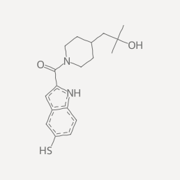 CC(C)(O)CC1CCN(C(=O)c2cc3cc(S)ccc3[nH]2)CC1